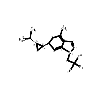 CC1=c2cnn(CC(F)(F)F)c2=CC([C@H]2C[C@@H]2C(C)C)C1